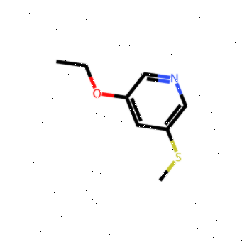 CCOc1[c]ncc(SC)c1